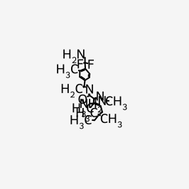 C=C(/N=C(\ON)c1nn(C)c(CC(C)(C)CC)c1C)c1ccc(C(F)(F)CN)c(C)c1